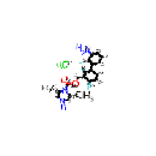 C[C@@H]1CNC[C@H](C)N1C(=O)OCc1c(F)ccc(-c2cccc(N)c2)c1F.Cl